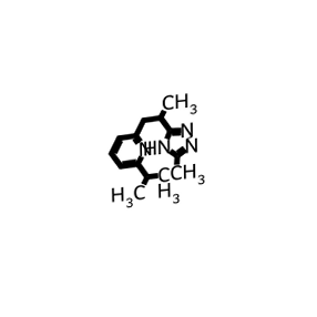 Cc1nnc(C(C)Cc2cccc(C(C)C)n2)[nH]1